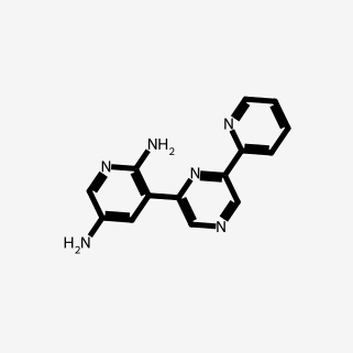 Nc1cnc(N)c(-c2cncc(-c3ccccn3)n2)c1